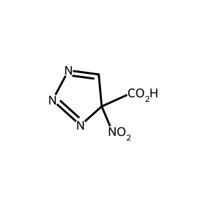 O=C(O)C1([N+](=O)[O-])C=NN=N1